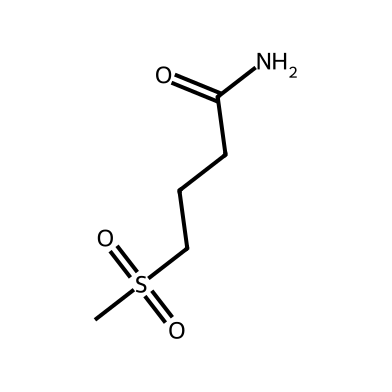 CS(=O)(=O)CCCC(N)=O